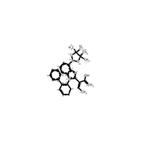 C=C(O)/C(=C\C)c1nc2c(B3OC(C)(C)C(C)(C)O3)cccc2n1C1=C(c2ccccc2)C=CCC1